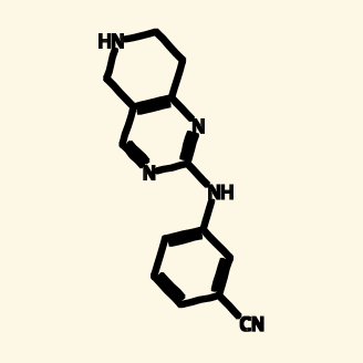 N#Cc1cccc(Nc2ncc3c(n2)CCNC3)c1